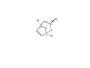 C[C@H]1C[C@H]2C=C[C@@H](C1)O2